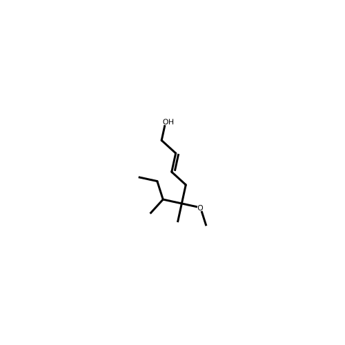 CCC(C)C(C)(C/C=C/CO)OC